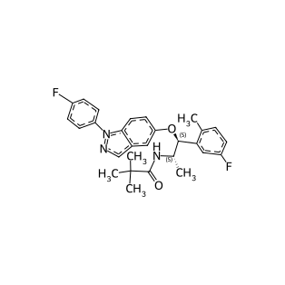 Cc1ccc(F)cc1[C@H](Oc1ccc2c(cnn2-c2ccc(F)cc2)c1)[C@H](C)NC(=O)C(C)(C)C